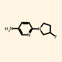 Nc1ccc(N2CCC(F)C2)nc1